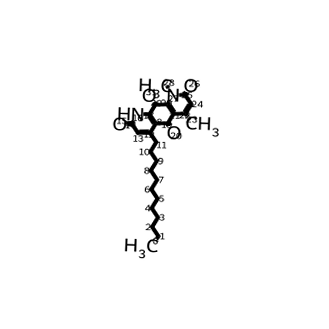 CCCCCCCCCCCCc1cc(=O)[nH]c2c1C(=O)c1c(C)cc(=O)n(C)c1C2=O